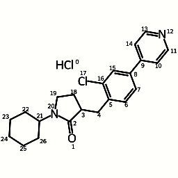 Cl.O=C1C(Cc2ccc(-c3ccncc3)cc2Cl)CCN1C1CCCCC1